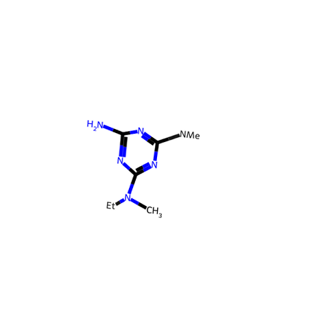 CCN(C)c1nc(N)nc(NC)n1